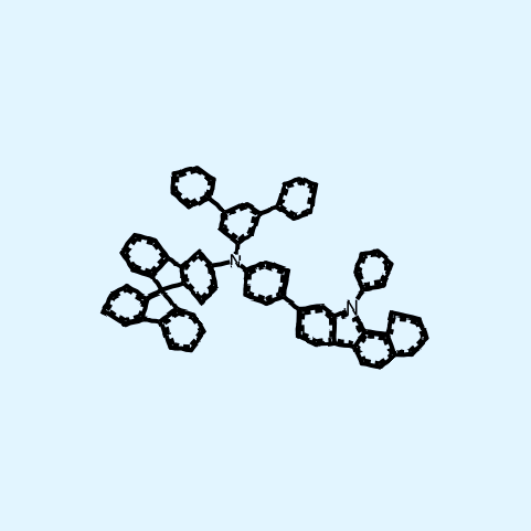 c1ccc(-c2cc(-c3ccccc3)cc(N(c3ccc(-c4ccc5c6ccc7ccccc7c6n(-c6ccccc6)c5c4)cc3)c3ccc4c(c3)-c3ccccc3C43c4ccccc4-c4ccccc43)c2)cc1